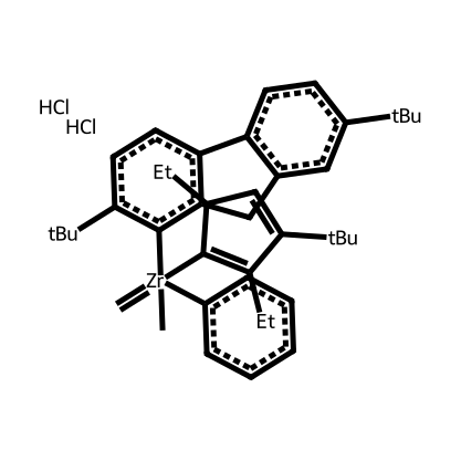 Cl.Cl.[CH2]=[Zr]([CH3])([C]1=C(CC)C(C(C)(C)C)=CC1CC)([c]1ccccc1)[c]1c(C(C)(C)C)ccc2c1Cc1cc(C(C)(C)C)ccc1-2